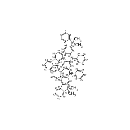 CC1(C)c2ccccc2-c2ccc(N(c3ccccc3)c3cc(N(c4ccccc4)c4ccc5c(c4)C(C)(C)c4ccccc4-5)c4c(c3)C3(c5ccccc5-c5ccccc53)c3ccccc3-4)cc21